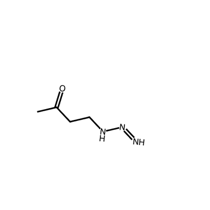 CC(=O)CCNN=N